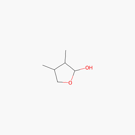 CC1COC(O)C1C